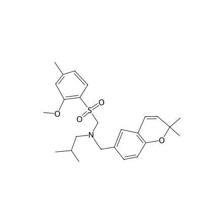 COc1cc(C)ccc1S(=O)(=O)CN(Cc1ccc2c(c1)C=CC(C)(C)O2)CC(C)C